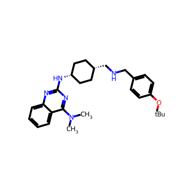 CN(C)c1nc(N[C@H]2CC[C@@H](CNCc3ccc(OC(C)(C)C)cc3)CC2)nc2ccccc12